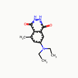 CCN(CC)c1cc(C)c2c(=O)[nH][nH]c(=O)c2c1